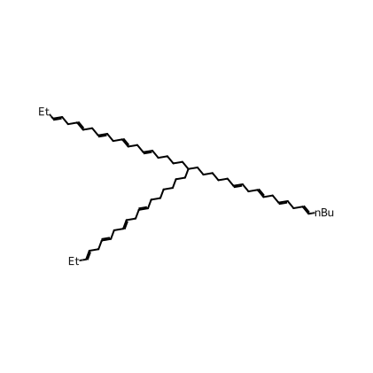 [CH2]CCCC=CCC=CCC=CCC=CCCCCCC(CCCCC=CCC=CCC=CCC=CCC=CCC)CCCCCCC=CCC=CCC=CCC=CCC